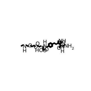 CCNCCOCCOC(=O)CC[C@H](NC(=O)c1ccc(CCc2c[nH]c3nc(N)[nH]c(=O)c23)cc1)C(=O)O